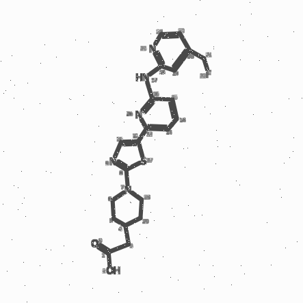 O=C(O)CC1CCN(c2ncc(-c3cccc(Nc4cc(CF)ccn4)n3)s2)CC1